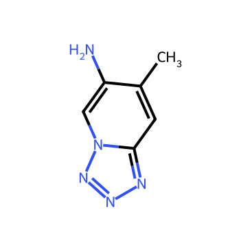 Cc1cc2nnnn2cc1N